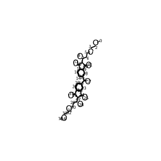 COCCOCCC(=O)C1C(=O)c2ccc(C(=O)c3ccc4c(c3)C(=O)C(C(=O)CCOCCOC)C4=O)cc2C1=O